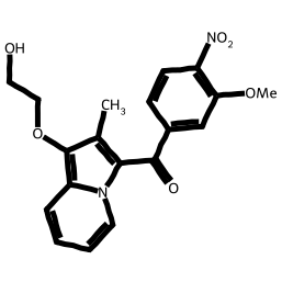 COc1cc(C(=O)c2c(C)c(OCCO)c3ccccn23)ccc1[N+](=O)[O-]